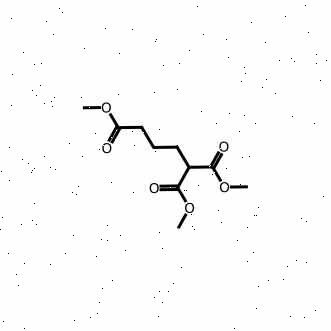 COC(=O)CCCC(C(=O)OC)C(=O)OC